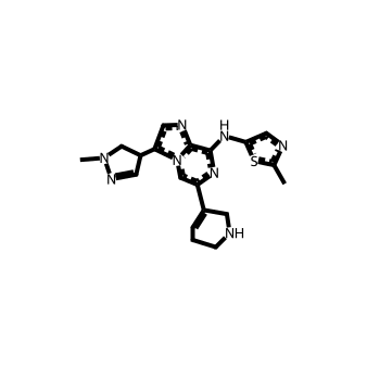 Cc1ncc(Nc2nc(C3=CCCNC3)cn3c(C4C=NN(C)C4)cnc23)s1